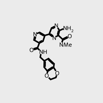 CNC(=O)c1nc(-c2cncc(C(=O)NCc3ccc4c(c3)OCCO4)c2)cnc1N